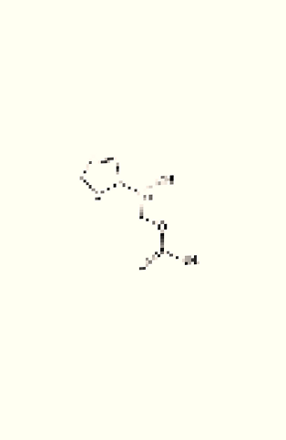 NC(=O)OC[C@@H](O)C1C=CCO1